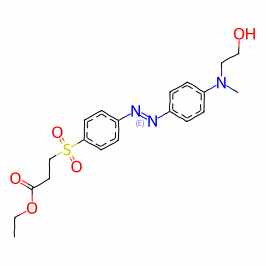 CCOC(=O)CCS(=O)(=O)c1ccc(/N=N/c2ccc(N(C)CCO)cc2)cc1